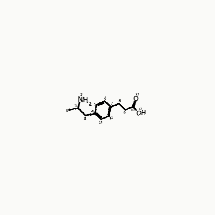 C[C@@H](N)Cc1ccc(CCC(=O)O)cc1